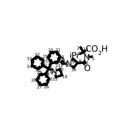 CC(C)C(C)(C(=O)O)N(C)C(=O)C1CN(C(=O)[C@@H]2CCN2C(c2ccccc2)(c2ccccc2)c2ccccc2)C1